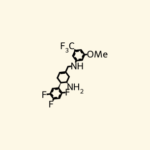 COc1cc(NCC2=CC[C@H](c3cc(F)c(F)cc3F)[C@@H](N)C2)cc(C(F)(F)F)c1